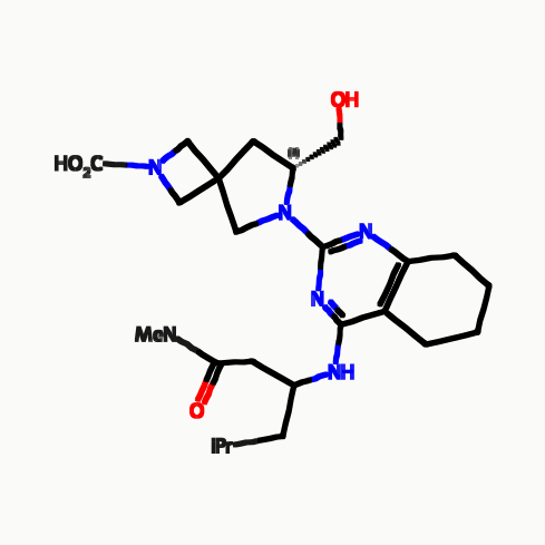 CNC(=O)CC(CC(C)C)Nc1nc(N2CC3(C[C@@H]2CO)CN(C(=O)O)C3)nc2c1CCCC2